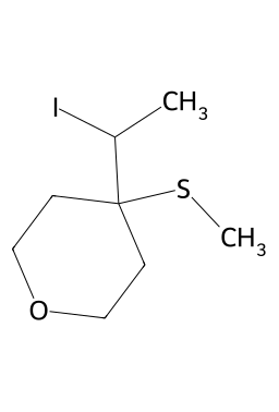 CSC1(C(C)I)CCOCC1